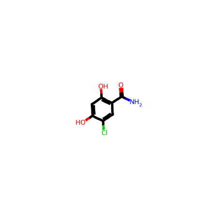 NC(=O)c1cc(Cl)c(O)cc1O